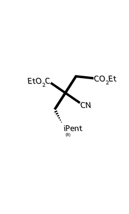 CCC[C@@H](C)CC(C#N)(CC(=O)OCC)C(=O)OCC